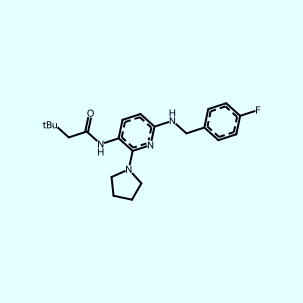 CC(C)(C)CC(=O)Nc1ccc(NCc2ccc(F)cc2)nc1N1CCCC1